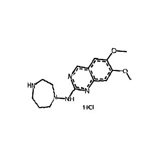 COc1cc2cnc(NN3CCCNCC3)nc2cc1OC.Cl